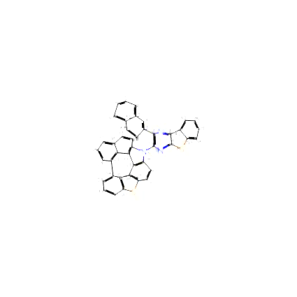 c1ccc2cc(-c3nc4c(nc3-n3c5ccc6cccc7c6c5c5c6c(ccc53)sc3cccc-7c36)sc3ccccc34)ccc2c1